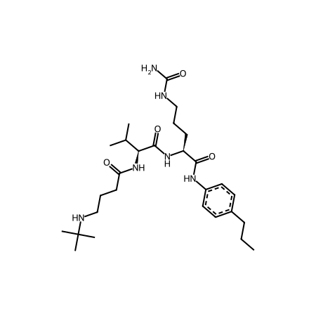 CCCc1ccc(NC(=O)[C@H](CCCNC(N)=O)NC(=O)[C@@H](NC(=O)CCCNC(C)(C)C)C(C)C)cc1